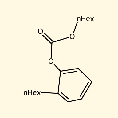 CCCCCCOC(=O)Oc1ccccc1CCCCCC